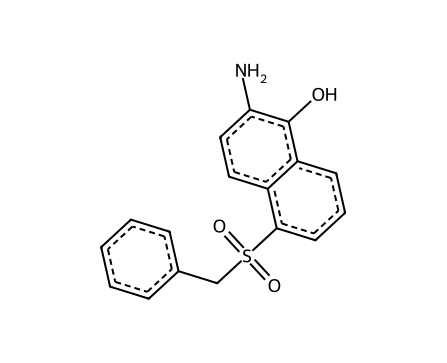 Nc1ccc2c(S(=O)(=O)Cc3ccccc3)cccc2c1O